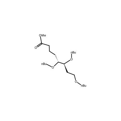 CCCCOCC[C@H](OCCCC)[C@@H](CCCC(=O)OC)OCCCC